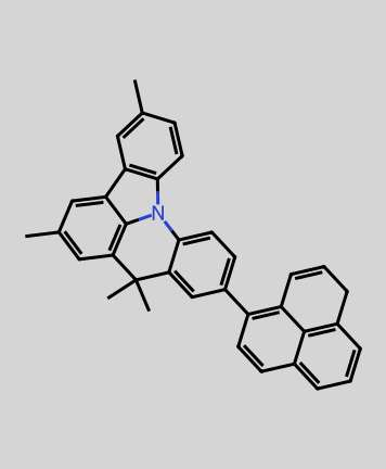 Cc1ccc2c(c1)c1cc(C)cc3c1n2-c1ccc(-c2ccc4cccc5c4c2C=CC5)cc1C3(C)C